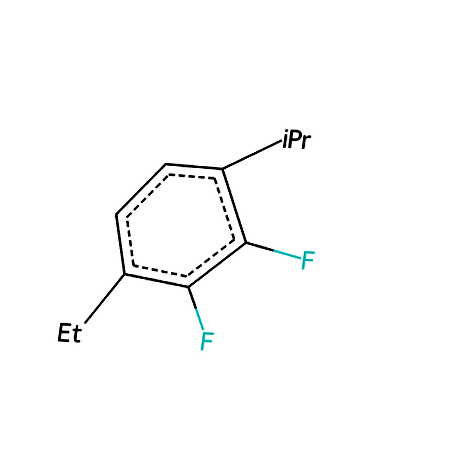 CCc1ccc(C(C)C)c(F)c1F